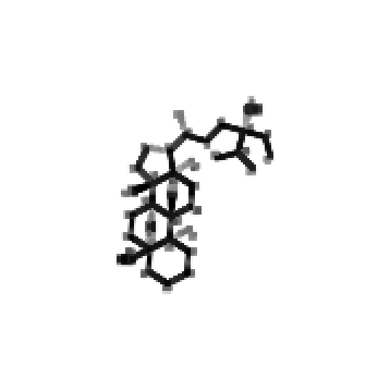 CC[C@](O)(CC[C@@H](C)[C@H]1CC[C@H]2[C@@H]3CCC4(O)CCCC[C@]4(C)[C@H]3CC[C@]12C)C(C)C